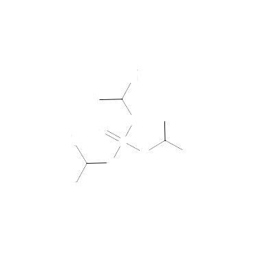 O=P(OC(Cl)Cl)(OC(Cl)Cl)OC(Cl)Cl